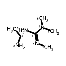 CCN.CN=C(N)N(C)C